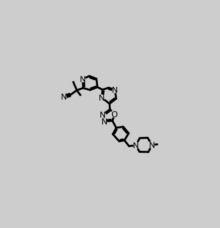 CN1CCN(Cc2ccc(-c3nnc(-c4cncc(-c5ccnc(C(C)(C)C#N)c5)n4)o3)cc2)CC1